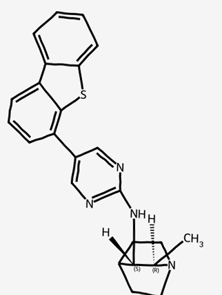 C[C@@H]1[C@@H](Nc2ncc(-c3cccc4c3sc3ccccc34)cn2)C2CCN1CC2